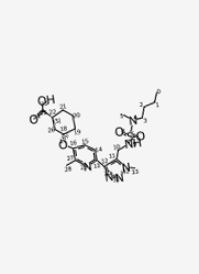 CCCCN(C)S(=O)(=O)NCc1c(-c2ccc(O[C@H]3CCC[C@H](C(=O)O)C3)c(C)n2)nnn1C